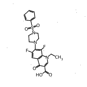 CCn1cc(C(=O)O)c(=O)c2cc(F)c(N3CCN(S(=O)(=O)c4ccccc4)CC3)c(F)c21